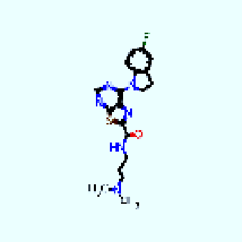 CN(C)CCCNC(=O)c1nc2c(N3CCc4cc(F)ccc43)ncnc2s1